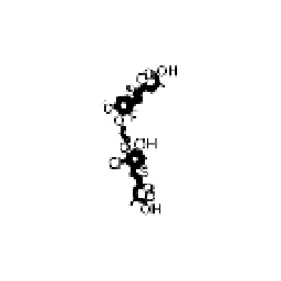 COc1cc2sc(C(=O)C[C@H](C)C(=O)O)cc2c(F)c1OCCCOc1c(O)cc2sc(C(=O)C[C@H](C)C(=O)O)cc2c1Cl